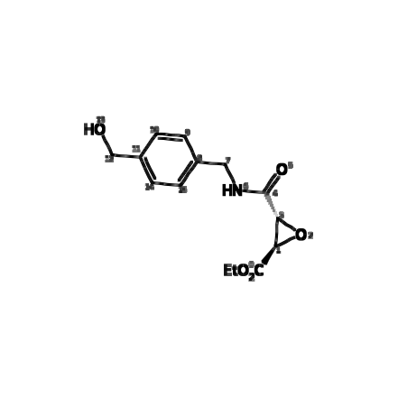 CCOC(=O)[C@@H]1O[C@H]1C(=O)NCc1ccc(CO)cc1